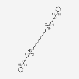 O=C(NCCCCCCCCCCCCNC(=O)NCCCOC(=O)NC1CCCCC1)NCCCOC(=O)NC1CCCCC1